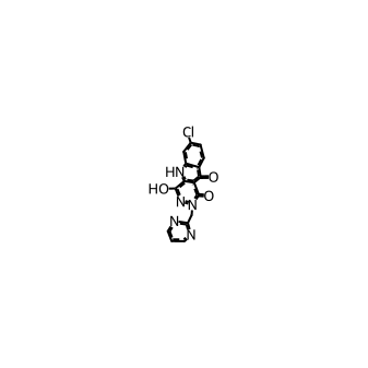 O=c1c2ccc(Cl)cc2[nH]c2c(O)nn(Cc3ncccn3)c(=O)c12